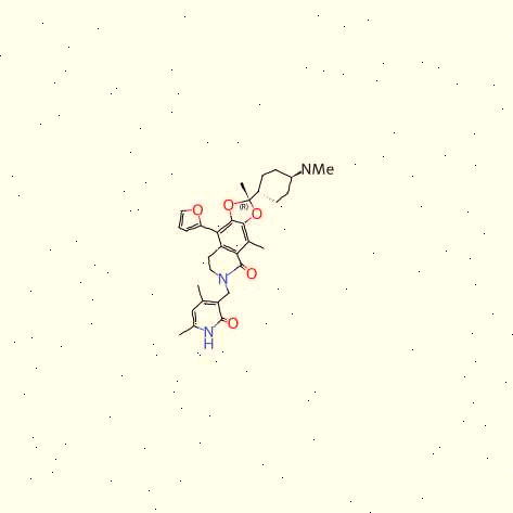 CN[C@H]1CC[C@H]([C@]2(C)Oc3c(C)c4c(c(-c5ccco5)c3O2)CCN(Cc2c(C)cc(C)[nH]c2=O)C4=O)CC1